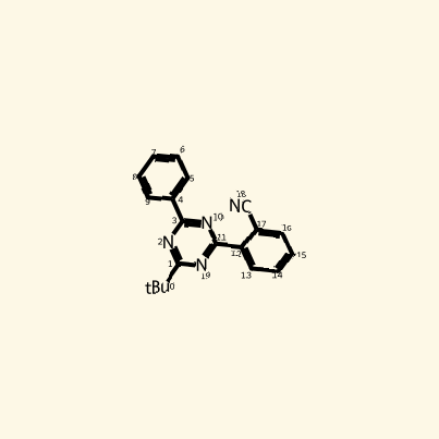 CC(C)(C)c1nc(-c2ccccc2)nc(-c2ccccc2C#N)n1